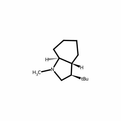 CN1C[C@H](C(C)(C)C)[C@H]2CCCC[C@@H]21